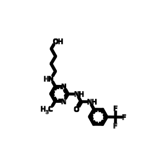 Cc1cc(NCCCCO)nc(NC(=O)Nc2cccc(C(F)(F)F)c2)n1